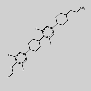 CCCC1CCC(c2cc(F)c(C3CCC(c4cc(F)c(OCF)c(F)c4)CC3)c(F)c2)CC1